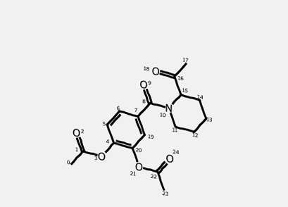 CC(=O)Oc1ccc(C(=O)N2CCCCC2C(C)=O)cc1OC(C)=O